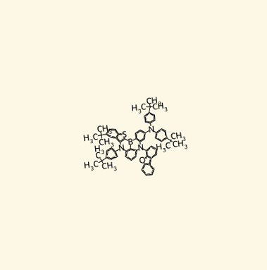 CC(C)(C)c1ccc(N(c2ccc(C(C)(C)C)cc2)c2ccc3c(c2)N(c2cccc4c2oc2ccccc24)c2cccc4c2B3c2sc3ccc(C(C)(C)C)cc3c2N4c2ccc(C(C)(C)C)cc2)cc1